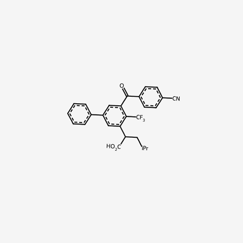 CC(C)CC(C(=O)O)c1cc(-c2ccccc2)cc(C(=O)c2ccc(C#N)cc2)c1C(F)(F)F